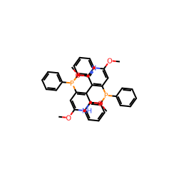 COC1=CC(P(c2ccccc2)c2ccccc2)=C(c2c(P(c3ccccc3)c3ccccc3)cc(OC)nc2OC)C(OC)N1